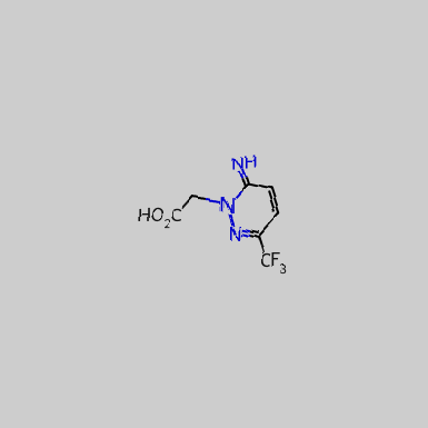 N=c1ccc(C(F)(F)F)nn1CC(=O)O